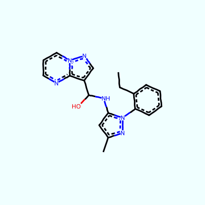 CCc1ccccc1-n1nc(C)cc1NC(O)c1cnn2cccnc12